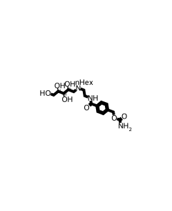 CCCCCCN(CCNC(=O)c1ccc(COC(N)=O)cc1)C[C@@H](O)[C@H](O)[C@@H](O)CO